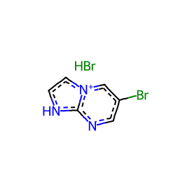 Br.Brc1cnc2[nH]cc[n+]2c1